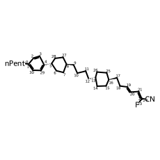 CCCCCc1ccc([C@H]2CC[C@H](CCCC[C@H]3CC[C@H](CCC=CC=C(F)C#N)CC3)CC2)cc1